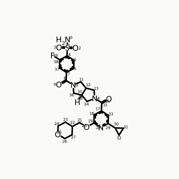 NS(=O)(=O)c1ccc(C(=O)N2CC3CN(C(=O)c4cc(OCC5CCOCC5)nc(C5CC5)c4)C[C@@H]3C2)cc1F